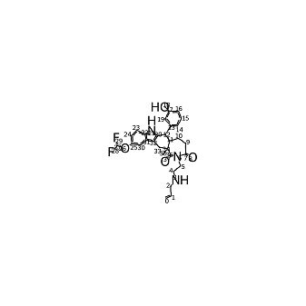 C=CCNCCN1C(=O)CCC2[C@H](c3cccc(O)c3)c3[nH]c4ccc(OC(F)F)cc4c3C[C@@]2(C)C1=O